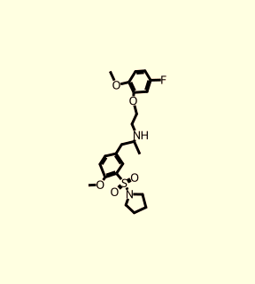 COc1ccc(F)cc1OCCNC(C)Cc1ccc(OC)c(S(=O)(=O)N2CCCC2)c1